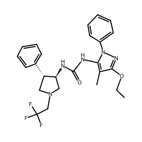 CCOc1nn(-c2ccccc2)c(NC(=O)N[C@H]2CN(CC(F)(F)F)C[C@@H]2c2ccccc2)c1C